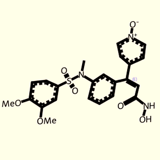 COc1ccc(S(=O)(=O)N(C)c2cccc(/C(=C\C(=O)NO)c3cc[n+]([O-])cc3)c2)cc1OC